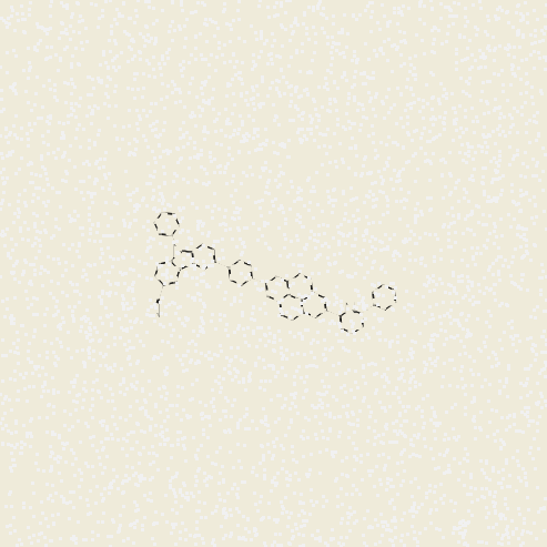 N#Cc1ccc2c(c1)c1cc(-c3ccc(-c4cc5ccc6cc(-c7cccc(-c8ccccc8)n7)cc7ccc(c4)c5c67)cc3)ccc1n2-c1ccccc1